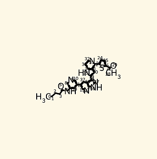 CCCCC(=O)Nc1cncc(-c2cnc3[nH]nc(-c4cc5c(-c6ccc(C(C)=O)s6)nccc5[nH]4)c3c2)c1